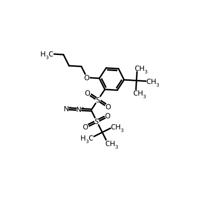 CCCCOc1ccc(C(C)(C)C)cc1S(=O)(=O)C(=[N+]=[N-])S(=O)(=O)C(C)(C)C